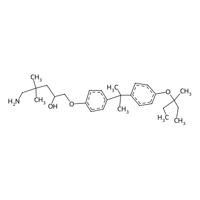 CCC(C)(CC)Oc1ccc(C(C)(C)c2ccc(OCC(O)CC(C)(C)CN)cc2)cc1